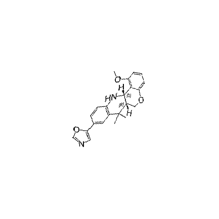 COc1cccc2c1[C@H]1Nc3ccc(-c4cnco4)cc3C(C)(C)[C@H]1CO2